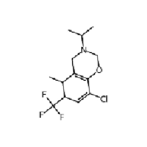 CC1C2=C(OCN(C(C)C)C2)C(Cl)=CC1C(F)(F)F